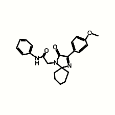 COc1ccc(C2=NC3(CCCCC3)N(CC(=O)Nc3ccccc3)C2=O)cc1